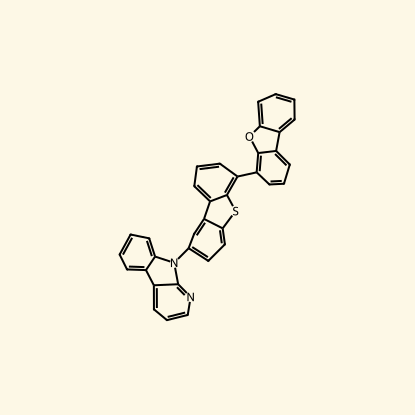 c1ccc2c(c1)oc1c(-c3cccc4c3sc3ccc(-n5c6ccccc6c6cccnc65)cc34)cccc12